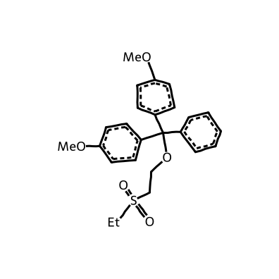 [CH2]CS(=O)(=O)CCOC(c1ccccc1)(c1ccc(OC)cc1)c1ccc(OC)cc1